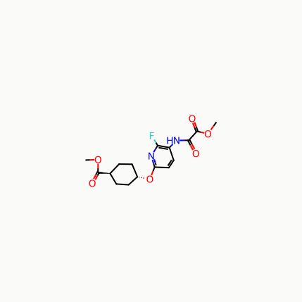 COC(=O)C(=O)Nc1ccc(O[C@H]2CC[C@H](C(=O)OC)CC2)nc1F